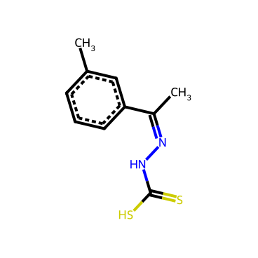 C/C(=N/NC(=S)S)c1cccc(C)c1